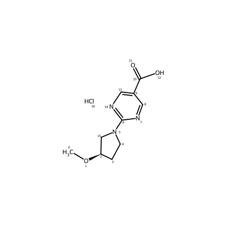 CO[C@@H]1CCN(c2ncc(C(=O)O)cn2)C1.Cl